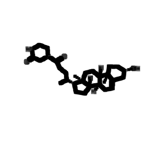 CC(CCC(=O)N1CCNC(=O)C1)[C@H]1CC[C@H]2[C@@H]3CC=C4C[C@@H](O)CC[C@]4(C)[C@H]3CC[C@]12C